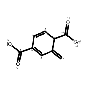 C=C1C=C(C(=O)O)C=CC1C(=O)O